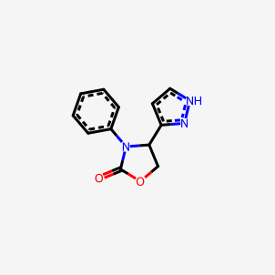 O=C1OCC(c2cc[nH]n2)N1c1ccccc1